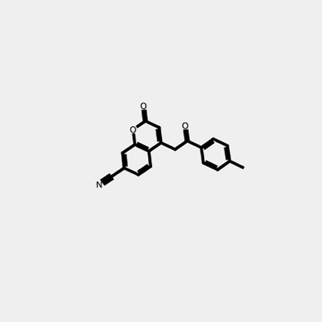 Cc1ccc(C(=O)Cc2cc(=O)oc3cc(C#N)ccc23)cc1